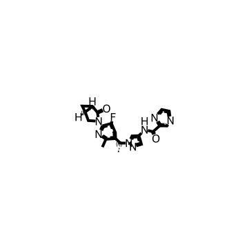 Cc1nc(N2C[C@H]3C[C@H]3C2=O)c(F)cc1[C@@H](C)n1cc(NC(=O)c2cnccn2)cn1